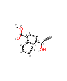 C#CC(O)c1ccc(C(=O)OC)c2ccccc12